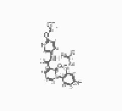 O=C(Nc1ccc(OCC(F)(F)F)nc1)c1cccn(-c2ccc(F)cc2OCC(F)F)c1=O